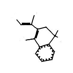 CC(=CC=O)C1=C(C(C)(C)C)c2ccccc2C(C)(C)C1